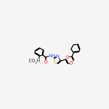 O=C(O)c1ccccc1C(=O)Nc1nc(C2=COC=C(C3=CC=CCC3)O2)cs1